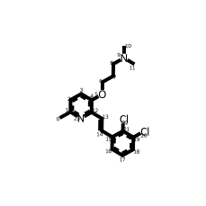 Cc1ccc(OCCCN(C)C)c(C=Cc2cccc(Cl)c2Cl)n1